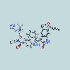 COC(=O)c1cc2c(cc1C)/C(=C(/Nc1ccc(C(=O)N(C)OCCN3C4CCC3CNC4)cc1)c1ccccc1)C(=O)N2